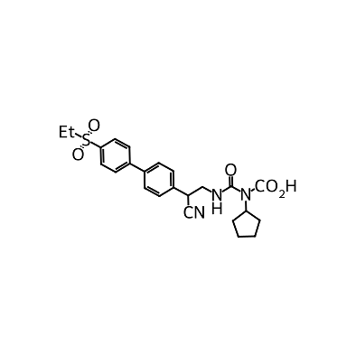 CCS(=O)(=O)c1ccc(-c2ccc(C(C#N)CNC(=O)N(C(=O)O)C3CCCC3)cc2)cc1